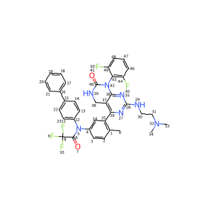 Cc1ccc(N(C(=O)C(F)(F)F)c2ccc(-c3ccccc3)cc2)cc1-c1nc(NCCN(C)C)nc2c1CNC(=O)N2c1c(F)cccc1F